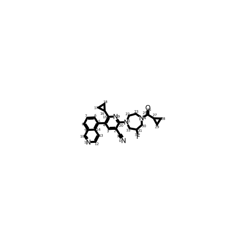 N#Cc1cc(-c2cccc3cnccc23)c(C2CC2)nc1N1CCN(C(=O)C2CC2)CC(F)C1